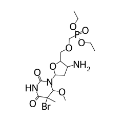 CCOP(=O)(COCC1OC(N2C(=O)NC(=O)C(C)(Br)C2OC)CC1N)OCC